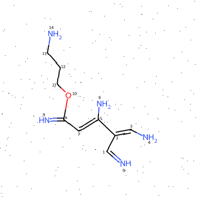 N=CC(=C\N)/C(N)=C/C(=N)OCCCN